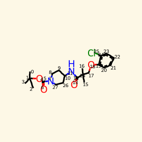 CC(C)(C)OC(=O)N1CCC(NC(=O)C(C)(C)COc2ccccc2Cl)CC1